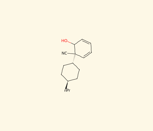 CCC[C@H]1CC[C@H](C2(C#N)C=CC=CC2O)CC1